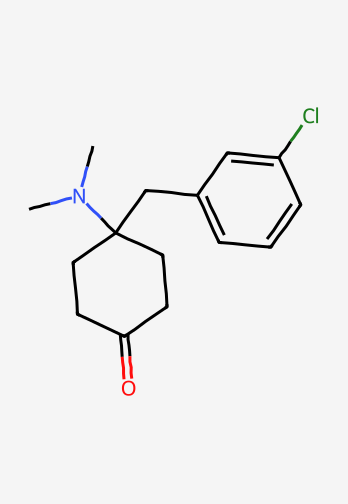 CN(C)C1(Cc2cccc(Cl)c2)CCC(=O)CC1